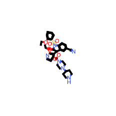 CCOc1ccccc1S(=O)(=O)N1C(=O)C(OC(=O)N2CCN(C3CCNCC3)CC2)(c2cccnc2OCC)c2cc(C#N)ccc21